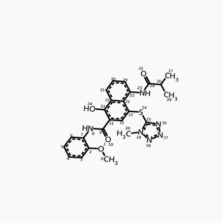 COc1ccccc1NC(=O)c1cc(Sc2nnnn2C)c2c(NC(=O)C(C)C)cccc2c1O